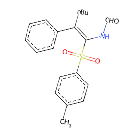 CCCCC(=C(NC=O)S(=O)(=O)c1ccc(C)cc1)c1ccccc1